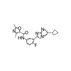 Cc1nc(C)c(C(=O)Nc2ccc(F)c(-c3cn4cc(C5CCC5)cnc4n3)c2)o1